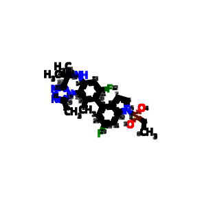 CCS(=O)(=O)n1ccc2c(-c3c(F)cc4c(c3C)-n3c(C)nnc3C(C)(C)N4)cc(F)cc21